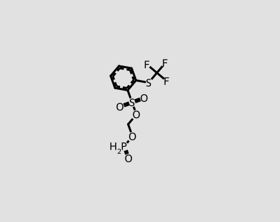 O=[PH2]OCOS(=O)(=O)c1ccccc1SC(F)(F)F